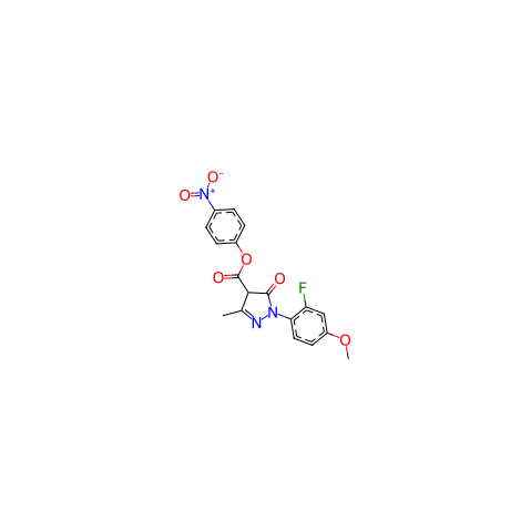 COc1ccc(N2N=C(C)C(C(=O)Oc3ccc([N+](=O)[O-])cc3)C2=O)c(F)c1